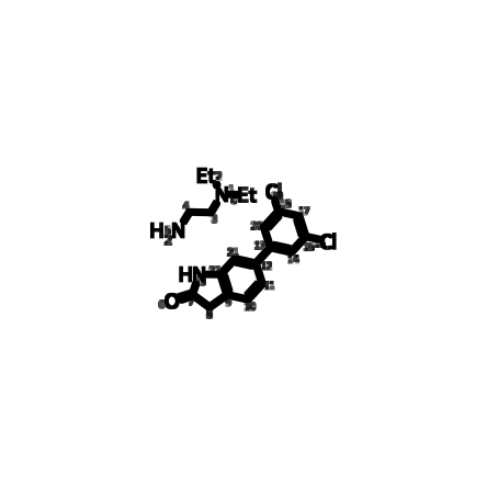 CCN(CC)CCN.O=C1Cc2ccc(-c3cc(Cl)cc(Cl)c3)cc2N1